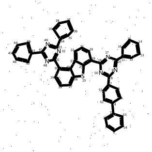 c1ccc(-c2ccc(-c3nc(-c4ccccc4)nc(-c4cccc5c4sc4cccc(-c6nc(-c7ccccc7)nc(-c7ccccc7)n6)c45)n3)cc2)cc1